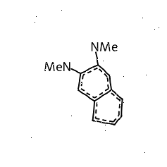 CNc1cc2ccccc2cc1NC